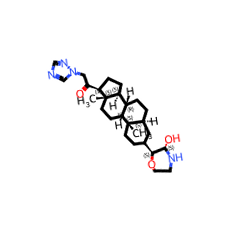 C[C@]12CCC([C@@H]3OCCN[C@H]3O)C[C@@H]1CC[C@@H]1[C@@H]2CC[C@]2(C)[C@@H](C(=O)Cn3cncn3)CC[C@@H]12